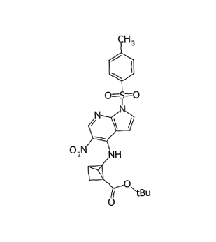 Cc1ccc(S(=O)(=O)n2ccc3c(NC4C5CC4(C(=O)OC(C)(C)C)C5)c([N+](=O)[O-])cnc32)cc1